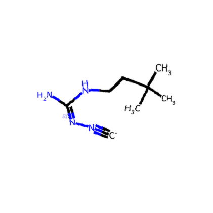 [C-]#[N+]/N=C(/N)NCCC(C)(C)C